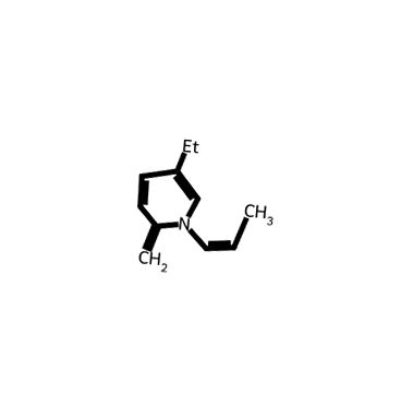 C=C1C=CC(CC)=CN1/C=C\C